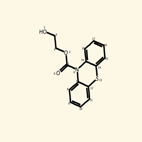 O=C(OCCO)N1c2ccccc2Sc2ccccc21